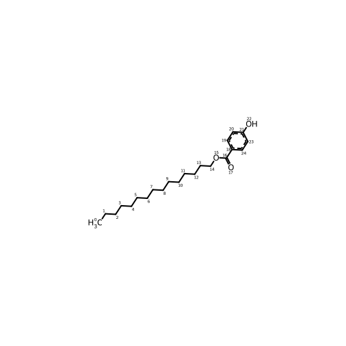 CCCCCCCCCCCCCCCOC(=O)c1ccc(O)cc1